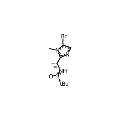 C[C@@H](N[S@+]([O-])C(C)(C)C)c1ncc(Br)n1C